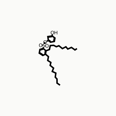 CCCCCCCCCCCc1cccc(S(=O)(=O)Oc2cccc(O)c2)c1CCCCCCCCCCC